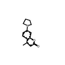 Cc1cc(=O)oc2cc(N3CCCC3)ccc12